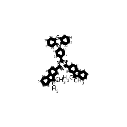 CC1(C)c2ccccc2-c2ccc(-c3nc(-c4ccc(N5c6ccccc6Sc6ccccc65)cc4)nc(-c4ccc5c(c4)C(C)(C)c4ccccc4-5)n3)cc21